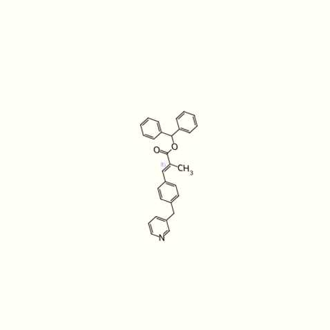 C/C(=C\c1ccc(Cc2cccnc2)cc1)C(=O)OC(c1ccccc1)c1ccccc1